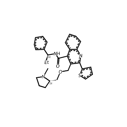 CC[C@H](NC(=O)c1c(COC[C@@H]2CCCN2C)c(-c2cccs2)nc2ccccc12)c1ccccc1